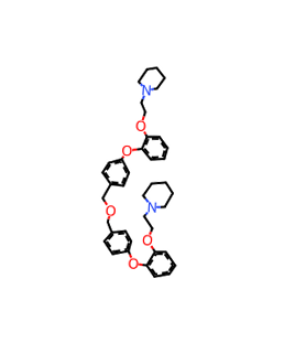 c1ccc(Oc2ccc(COCc3ccc(Oc4ccccc4OCCN4CCCCC4)cc3)cc2)c(OCCN2CCCCC2)c1